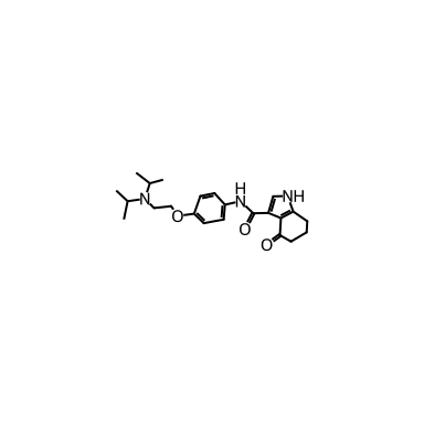 CC(C)N(CCOc1ccc(NC(=O)c2c[nH]c3c2C(=O)CCC3)cc1)C(C)C